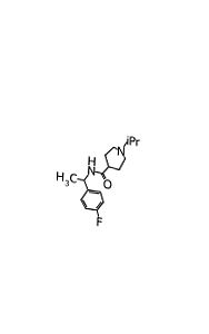 CC(NC(=O)C1CCN(C(C)C)CC1)c1ccc(F)cc1